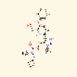 CN(CC1CCC1)C(=O)OCc1c(-c2ccc(OC3CCCCC3)c(CO)n2)nnn1C